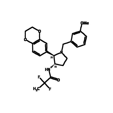 COc1cccc(CN2CC[C@H](NC(=O)C(C)(F)F)[C@H]2c2ccc3c(c2)OCCO3)c1